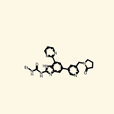 CCNC(=O)Nc1nc2cc(-c3cncc(CN4CCCC4=O)c3)cc(-c3ncccn3)c2[nH]1